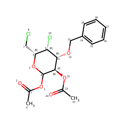 CC(=O)OC1O[C@H](CCl)[C@H](Cl)[C@H](OCc2ccccc2)[C@H]1OC(C)=O